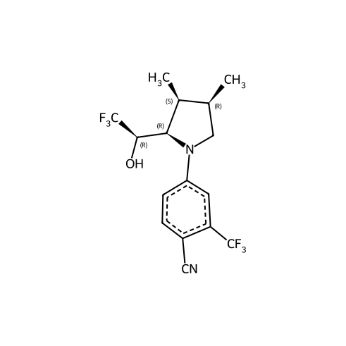 C[C@@H]1[C@H]([C@@H](O)C(F)(F)F)N(c2ccc(C#N)c(C(F)(F)F)c2)C[C@@H]1C